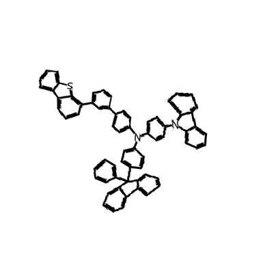 c1ccc(C2(c3ccc(N(c4ccc(-c5cccc(-c6cccc7c6sc6ccccc67)c5)cc4)c4ccc(-n5c6ccccc6c6ccccc65)cc4)cc3)c3ccccc3-c3ccccc32)cc1